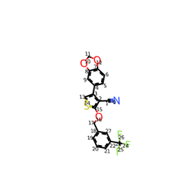 N#Cc1c(-c2ccc3c(c2)OCO3)csc1OCc1cccc(C(F)(F)F)c1